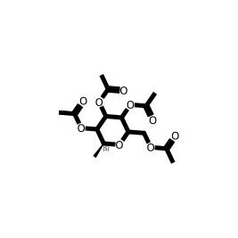 CC(=O)OCC1O[C@@H](C)C(OC(C)=O)C(OC(C)=O)C1OC(C)=O